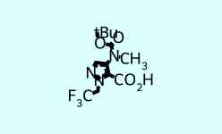 CN(C(=O)OC(C)(C)C)c1cnn(CC(F)(F)F)c1C(=O)O